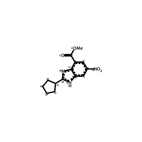 COC(=O)c1cc([N+](=O)[O-])cc2[nH]c(C3CCCC3)nc12